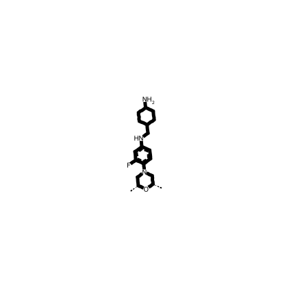 C[C@@H]1CN(c2ccc(NCC3CCC(N)CC3)cc2F)C[C@H](C)O1